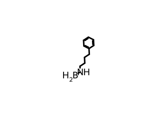 BNCCCCc1ccccc1